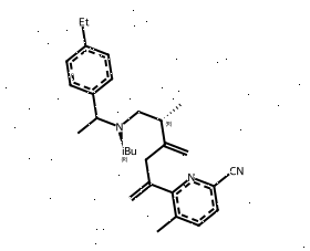 C=C(CC(=C)[C@@H](C)CN(C(C)c1ccc(CC)cc1)[C@H](C)CC)c1nc(C#N)ccc1C